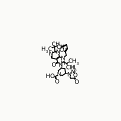 CC(C)CN(C(=O)c1cnc(C(C)(C)C)nc1NCc1ccco1)[C@H]1C[C@@H](N2CC(=O)ON2)CN(C(=O)O)C1